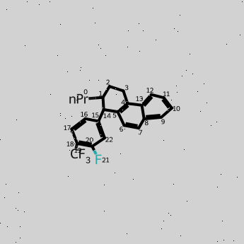 CCCC1CCc2c(ccc3ccccc23)C1c1ccc(C(F)(F)F)c(F)c1